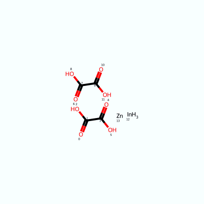 O=C(O)C(=O)O.O=C(O)C(=O)O.[InH3].[Zn]